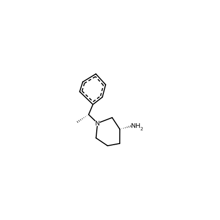 C[C@H](c1ccccc1)N1CCC[C@@H](N)C1